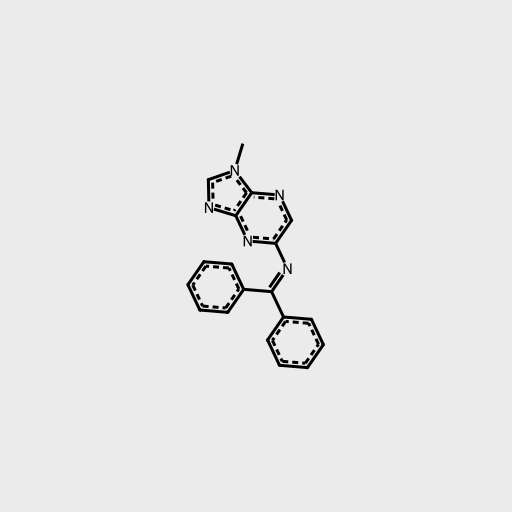 Cn1cnc2nc(N=C(c3ccccc3)c3ccccc3)cnc21